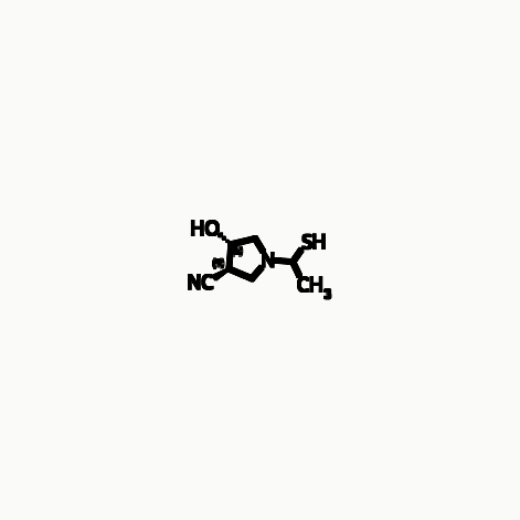 CC(S)N1C[C@@H](O)[C@H](C#N)C1